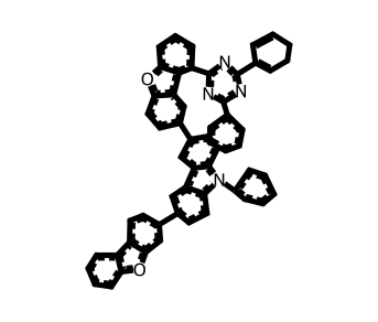 C1=CC(c2nc(-c3ccccc3)nc(-c3cccc4oc5ccc(-c6ccc7c(c6)c6cc(-c8ccc9c(c8)oc8ccccc89)ccc6n7-c6ccccc6)cc5c34)n2)=CCC1